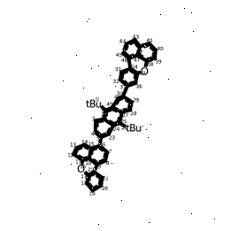 CC(C)(C)c1c2ccc(-c3ccc4c5c(cccc35)Oc3ccccc3-4)cc2c(C(C)(C)C)c2ccc(-c3ccc4c(c3)Oc3cccc5cccc-4c35)cc12